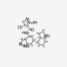 CC(C)n1ncc(Cl)c1C(=O)Nc1cc(-c2cccc3[nH]ccc23)cc2[nH]ncc12